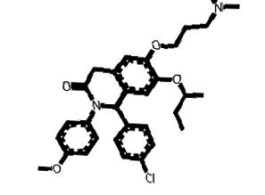 CCC(C)Oc1cc2c(cc1OCCCN(C)C)CC(=O)N(c1ccc(OC)cc1)C2c1ccc(Cl)cc1